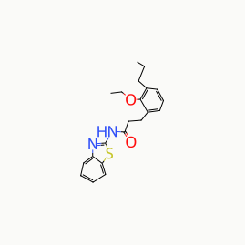 CCCc1cccc(CCC(=O)Nc2nc3ccccc3s2)c1OCC